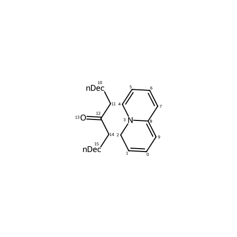 C1=CCN2C=CC=CC2=C1.CCCCCCCCCCCC(=O)CCCCCCCCCCC